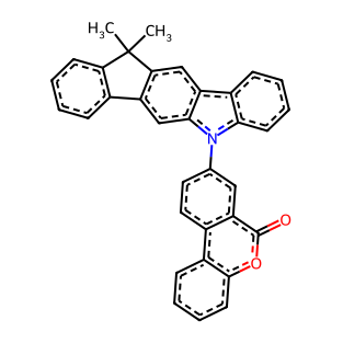 CC1(C)c2ccccc2-c2cc3c(cc21)c1ccccc1n3-c1ccc2c(c1)c(=O)oc1ccccc12